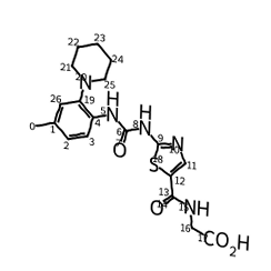 Cc1ccc(NC(=O)Nc2ncc(C(=O)NCC(=O)O)s2)c(N2CCCCC2)c1